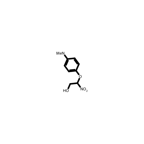 CNc1ccc(OC(CO)[N+](=O)[O-])cc1